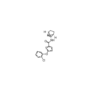 O=C(N[C@@H]1C[C@H]2CC[C@@H]1N2)c1ccc(Oc2ccccc2Cl)s1